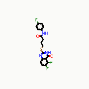 O=C(CCCSc1nc2ccc(F)c(F)c2c(=O)[nH]1)Nc1ccc(F)cc1